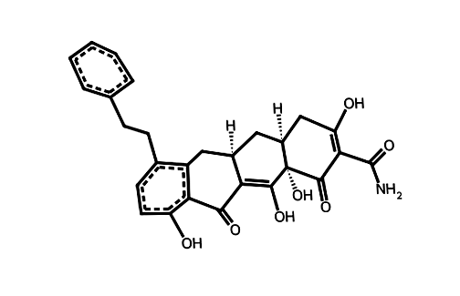 NC(=O)C1=C(O)C[C@@H]2C[C@@H]3Cc4c(CCc5ccccc5)ccc(O)c4C(=O)C3=C(O)[C@]2(O)C1=O